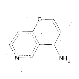 NC1C=COc2ccncc21